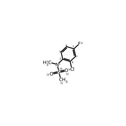 CN(c1ccc(F)cc1Cl)S(C)(=O)=O